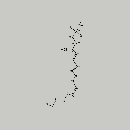 CC/C=C/C/C=C\CC/C=C/C=C/C(=O)NCC(C)(C)O